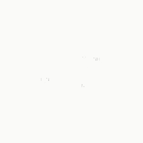 NCCCCc1c[nH]c2ccc(C(N)=O)cc12